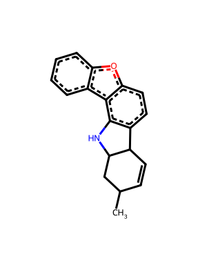 CC1C=CC2c3ccc4oc5ccccc5c4c3NC2C1